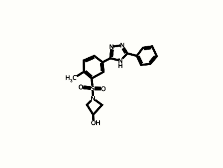 Cc1ccc(-c2nnc(-c3ccccc3)[nH]2)cc1S(=O)(=O)N1CC(O)C1